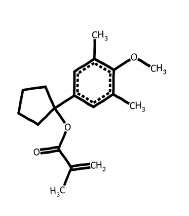 C=C(C)C(=O)OC1(c2cc(C)c(OC)c(C)c2)CCCC1